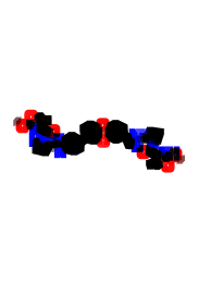 COC(=O)N[C@H](C(=O)N1CCC[C@H]1c1ncc(-c2ccc3c(c2)Oc2cc(-c4ccc5nc([C@@H]6CCCN6C(=O)[C@@H](NC(=O)OC)C(C)C)[nH]c5c4)ccc2O3)[nH]1)C(C)C